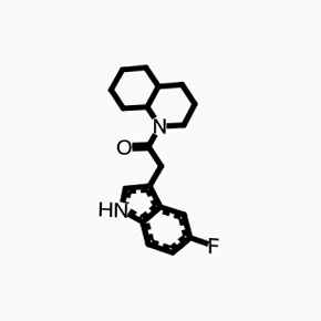 O=C(Cc1c[nH]c2ccc(F)cc12)N1CCCC2CCCCC21